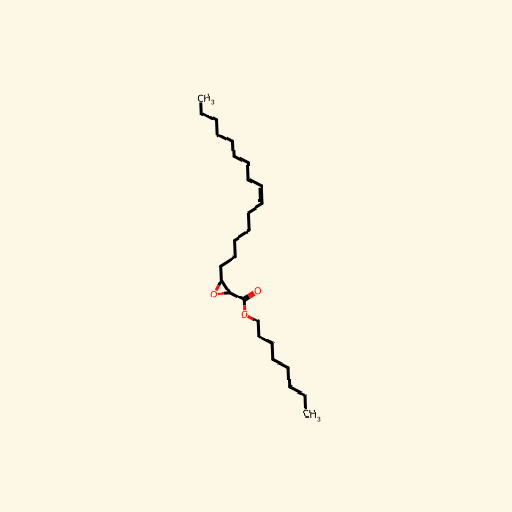 CCCCCCCC/C=C\CCCCCC1OC1C(=O)OCCCCCCCC